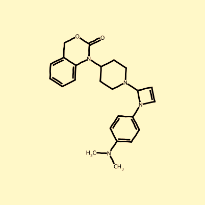 CN(C)c1ccc(N2C=CC2N2CCC(N3C(=O)OCc4ccccc43)CC2)cc1